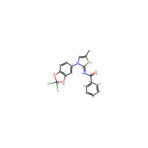 Cc1cn(-c2ccc3c(c2)OC(F)(F)O3)/c(=N/C(=O)c2ccccc2)s1